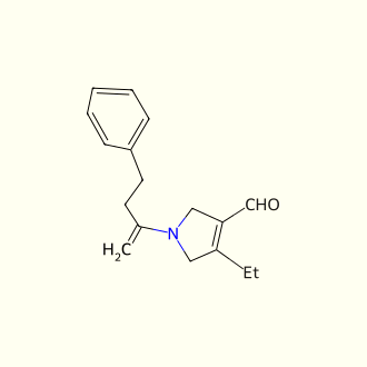 C=C(CCc1ccccc1)N1CC(C=O)=C(CC)C1